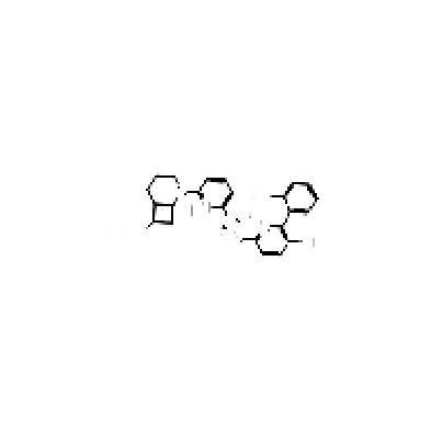 CC(C)c1ccccc1-c1nc(NS(=O)(=O)c2cccc(N3CCCC4C(C(=O)O)C[C@@H]43)n2)ccc1C(F)(F)F